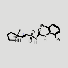 CC(C)c1cccc(C(C)C)c1NC(=O)NS(=O)(=O)/C=C/[C@@]1(C)CCCN1